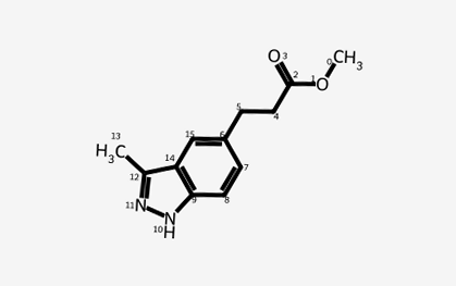 COC(=O)CCc1ccc2[nH]nc(C)c2c1